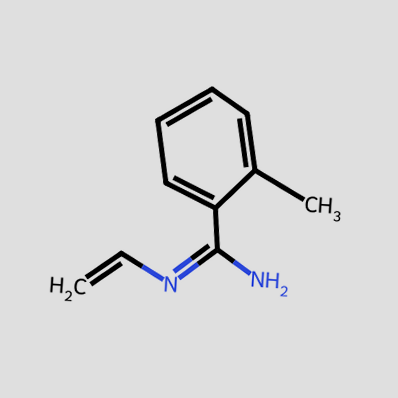 C=C/N=C(/N)c1ccccc1C